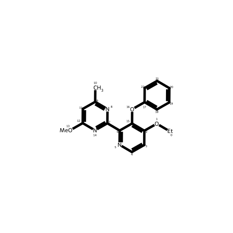 CCOc1ccnc(-c2nc(C)cc(OC)n2)c1Oc1ccccc1